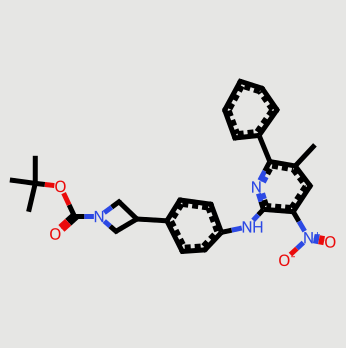 Cc1cc([N+](=O)[O-])c(Nc2ccc(C3CN(C(=O)OC(C)(C)C)C3)cc2)nc1-c1ccccc1